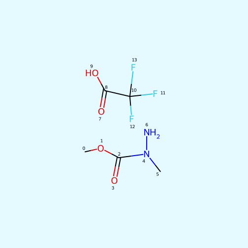 COC(=O)N(C)N.O=C(O)C(F)(F)F